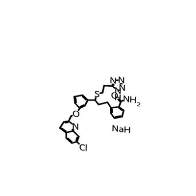 NC(=O)c1ccccc1CCC(SCCc1nnn[nH]1)c1cccc(OCc2ccc3ccc(Cl)cc3n2)c1.[NaH]